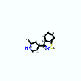 CC1CC(c2nsc3ccccc23)CCN1